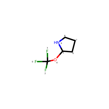 FC(F)(F)OC1C[CH]CN1